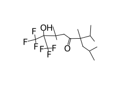 CC(C)CC(C)(C(=O)CC(C)(C)C(O)(C(F)(F)F)C(F)(F)F)C(C)C